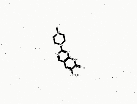 CN1CCN(c2ncc3cc(C(=O)O)c(=O)[nH]c3n2)CC1